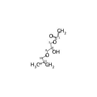 C=CC(=O)OCC(O)COCC(=C)C